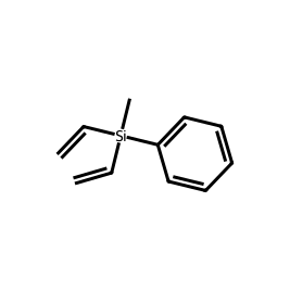 C=C[Si](C)(C=C)c1ccccc1